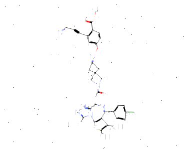 COC(=O)c1ccc(ON=C2CC3(C2)CN(C(=O)C[C@@H]2N=C(c4ccc(Cl)cc4)c4c(sc(C)c4C)-n4c(C)nnc42)C3)cc1C#CCN